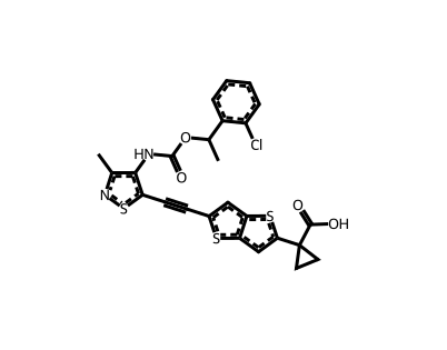 Cc1nsc(C#Cc2cc3sc(C4(C(=O)O)CC4)cc3s2)c1NC(=O)OC(C)c1ccccc1Cl